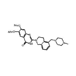 COc1cc2nc(N3CCc4c(CN5CCN(C)CC5)cccc4C3)[nH]c(=O)c2cc1OC